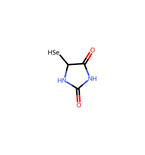 O=C1NC(=O)C([SeH])N1